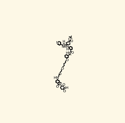 C[C@@H](NC(=O)c1cccc(NC2(c3nnc(-c4ccncc4)[nH]3)CCN(C(=O)OC(C)(C)C)CC2)c1)c1cccc(OCCCCCOCCCOCCNc2ccc3c(c2)CN(C2CCC(=O)NC2=O)C3=O)c1